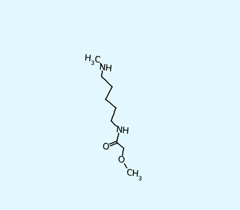 CNCCCCCNC(=O)COC